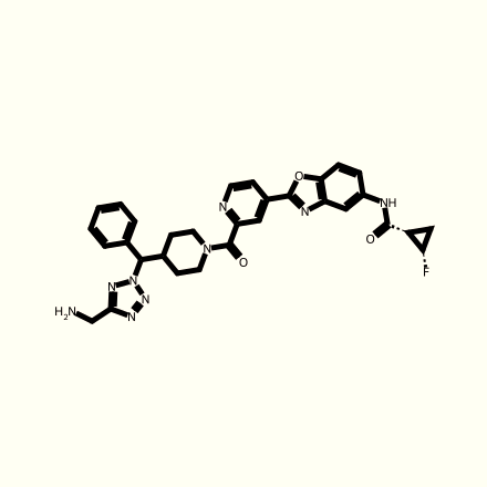 NCc1nnn(C(c2ccccc2)C2CCN(C(=O)c3cc(-c4nc5cc(NC(=O)[C@@H]6C[C@@H]6F)ccc5o4)ccn3)CC2)n1